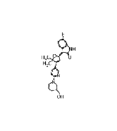 CC1(C)O/C(=C2/C(=O)Nc3cc(F)ccc32)C=C1c1ccc(N2CCCC(CO)C2)nc1